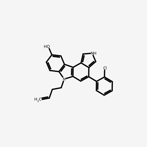 C=CCCn1c2ccc(O)cc2c2c3c[nH]cc3c(-c3ccccc3Cl)cc21